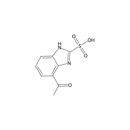 CC(=O)c1cccc2[nH]c(S(=O)(=O)O)nc12